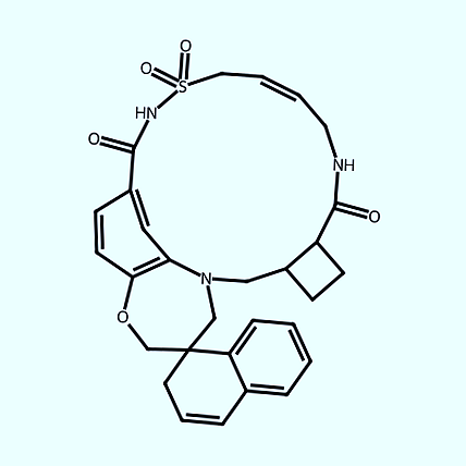 O=C1NS(=O)(=O)CC=CCNC(=O)C2CCC2CN2CC3(CC=Cc4ccccc43)COc3ccc1cc32